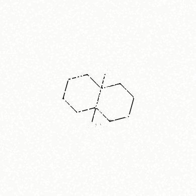 COC12CCCCC1(C(C)=O)CCCC2